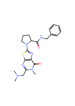 CN(C)Cc1nc2sc(N3CCCC3C(=O)NCc3ccccc3)nc2c(=O)n1C